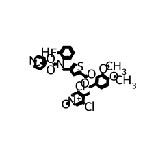 COc1ccc([C@H](Cc2c(Cl)c[n+]([O-])cc2Cl)OC(=O)c2cc(CN(C(=O)O[C@H]3CN4CCC3CC4)c3ccccc3F)cs2)cc1OC